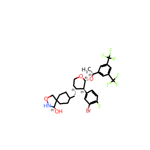 C[C@@H](O[C@H]1OCC[C@@H](CC2CCC3(CC2)CON[C@@H]3O)[C@@H]1c1ccc(F)c(Br)c1)c1cc(C(F)(F)F)cc(C(F)(F)F)c1